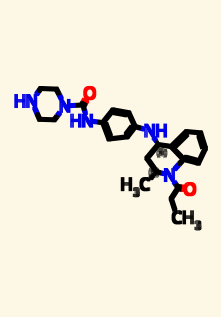 CCC(=O)N1c2ccccc2[C@H](Nc2ccc(NC(=O)N3CCNCC3)cc2)C[C@@H]1C